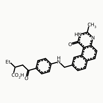 CCC(CC(=O)c1ccc(NCc2ccc3ccc4nc(C)[nH]c(=O)c4c3c2)cc1)C(=O)O